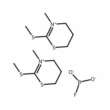 CSC1=[N+](C)CCCS1.CSC1=[N+](C)CCCS1.[O-]B([O-])F